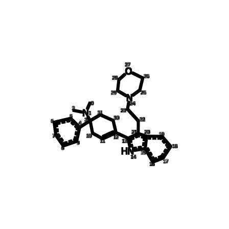 CN(C)C1(c2ccccc2)CC=C(c2[nH]c3ccccc3c2CCN2CCOCC2)CC1